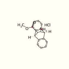 COC(=O)C1C(N)[C@H]2c3ccccc3[C@@H]1c1ccccc12.Cl